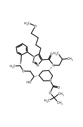 CCOCC(O)[C@@H]1C[C@H](N(CC(C)C)C(=O)c2nnn(-c3ccccc3F)c2CCCCOC)CN(C(=O)OC(C)(C)C)C1